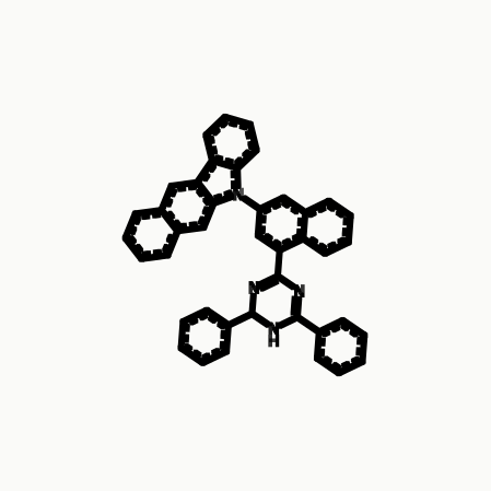 c1ccc(C2=NC(c3cc(-n4c5ccccc5c5cc6ccccc6cc54)cc4ccccc34)=NC(c3ccccc3)N2)cc1